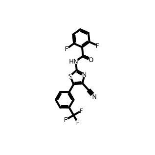 N#Cc1nc(NC(=O)c2c(F)cccc2F)sc1-c1cccc(C(F)(F)F)c1